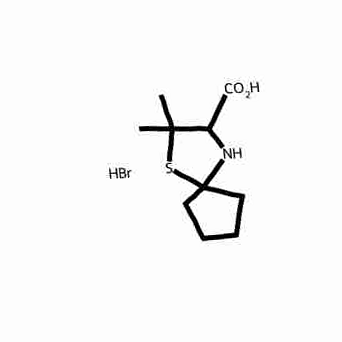 Br.CC1(C)SC2(CCCC2)NC1C(=O)O